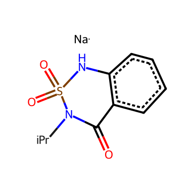 CC(C)N1C(=O)c2ccccc2NS1(=O)=O.[Na]